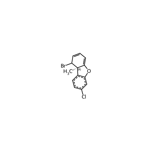 C[C@@]12C(=CC=CC1Br)Oc1cc(Cl)ccc12